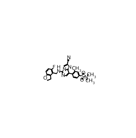 Cc1cc(S(=O)(=O)N(C)C)ccc1-c1cnc(NCc2c(F)ccc3c2CCO3)n2cc(C#N)nc12